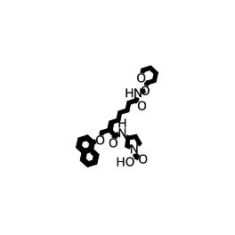 O=C(CCCCC=C(COc1cccc2ccccc12)C(=O)NC1CCN(C(=O)O)C1)NOC1CCCCO1